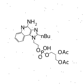 CCCCc1nc2c(N)nc3ccccc3c2n1CCOP(=O)(O)OC[C@@H](COC(C)=O)OC(C)=O